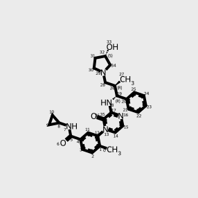 Cc1ccc(C(=O)NC2CC2)cc1-n1ccnc(N[C@@H](c2ccccc2)[C@H](C)CN2CC[C@H](O)C2)c1=O